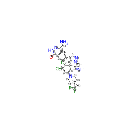 Cn1ncc(-c2ccc3c(=O)[nH]nc(CN)c3c2)c1-c1c(F)c(Cl)cc(N2CCC3(CC2)CC3(F)F)c1C#N